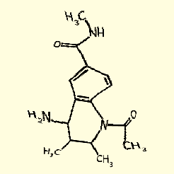 CNC(=O)c1ccc2c(c1)C(N)C(C)C(C)N2C(C)=O